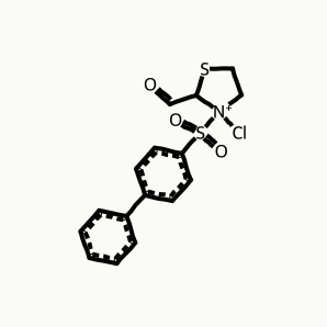 O=CC1SCC[N+]1(Cl)S(=O)(=O)c1ccc(-c2ccccc2)cc1